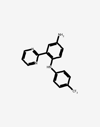 Nc1ccc(Nc2ccc(C(F)(F)F)cc2)c(-c2ncccn2)c1